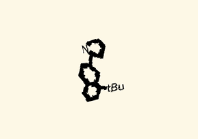 CC(C)(C)c1cccc2ccc(-c3ccccn3)cc12